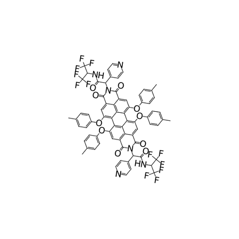 Cc1ccc(Oc2cc3c4c(cc(Oc5ccc(C)cc5)c5c6c(Oc7ccc(C)cc7)cc7c8c(cc(Oc9ccc(C)cc9)c(c2c45)c86)C(=O)N(C(C(=O)NC(C(F)(F)F)C(F)(F)F)c2ccncc2)C7=O)C(=O)N(C(C(=O)NC(C(F)(F)F)C(F)(F)F)c2ccncc2)C3=O)cc1